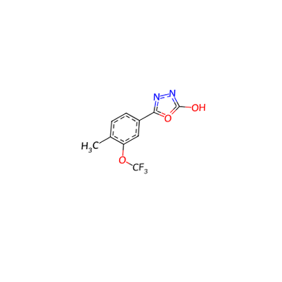 Cc1ccc(-c2nnc(O)o2)cc1OC(F)(F)F